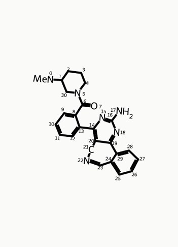 CNC1CCCN(C(=O)c2ccccc2-c2nc(N)nc3c2CN=Cc2ccccc2-3)C1